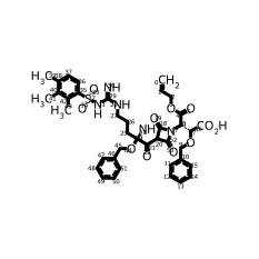 C=CCOC(=O)[C@H](C(OCc1ccccc1)C(=O)O)N1C(=O)C(C(=O)[C@@](N)(CCCNC(=N)NS(=O)(=O)c2ccc(C)c(C)c2C)OCc2ccccc2)C1=O